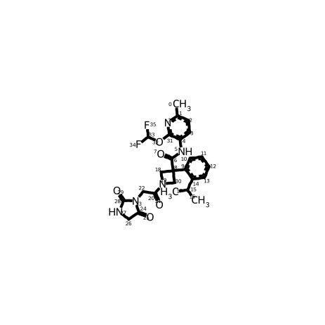 Cc1ccc(NC(=O)C2(c3ccccc3C(C)C)CN(C(=O)CN3C(=O)CNC3=O)C2)c(OC(F)F)n1